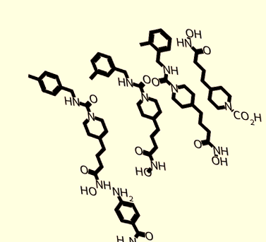 Cc1ccc(CNC(=O)N2CCC(CCCC(=O)NO)CC2)cc1.Cc1cccc(CNC(=O)N2CCC(CCCC(=O)NO)CC2)c1.Cc1ccccc1CNC(=O)N1CCC(CCCC(=O)NO)CC1.NC(=O)c1ccc(N)cc1.O=C(CCCC1CCN(C(=O)O)CC1)NO